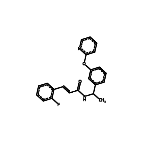 CC(NC(=O)C=Cc1ccccc1F)c1cccc(Oc2ccccn2)c1